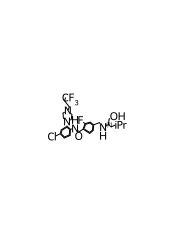 CC(C)C[C@H](CO)NCc1ccc(C(=O)Nc2ccc(Cl)cc2N2CCN(CCC(F)(F)F)CC2)c(F)c1